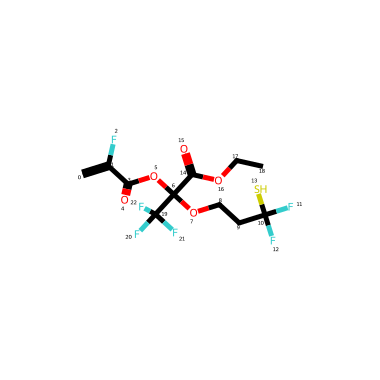 C=C(F)C(=O)OC(OCCC(F)(F)S)(C(=O)OCC)C(F)(F)F